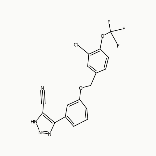 N#Cc1[nH]nnc1-c1cccc(OCc2ccc(OC(F)(F)F)c(Cl)c2)c1